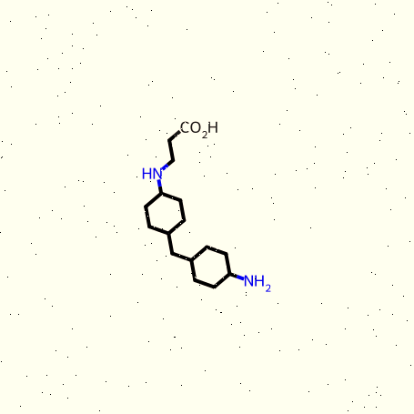 NC1CCC(CC2CCC(NCCC(=O)O)CC2)CC1